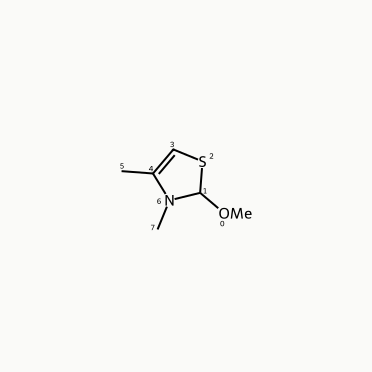 COC1SC=C(C)N1C